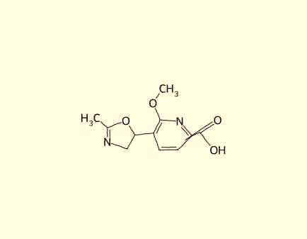 COc1nc(C(=O)O)ccc1C1CN=C(C)O1